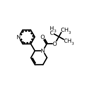 CC(C)(C)OC(=O)N1CCC=CC1c1cccnc1